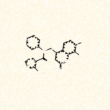 Cc1ncsc1C(=O)N(Cc1cc(=O)[nH]c2c(F)c(F)ccc12)c1ccccc1